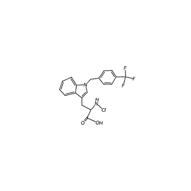 O=C(O)C(Cc1cn(Cc2ccc(C(F)(F)F)cc2)c2ccccc12)NCl